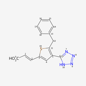 O=C(O)C=Cc1cc(-c2nnn[nH]2)c(Cc2ccccc2)s1